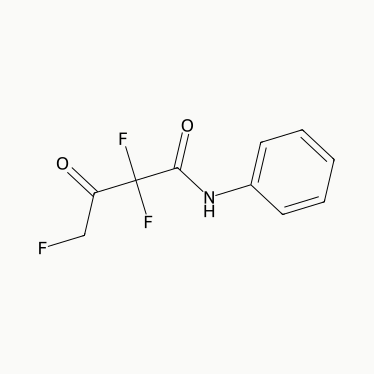 O=C(CF)C(F)(F)C(=O)Nc1ccccc1